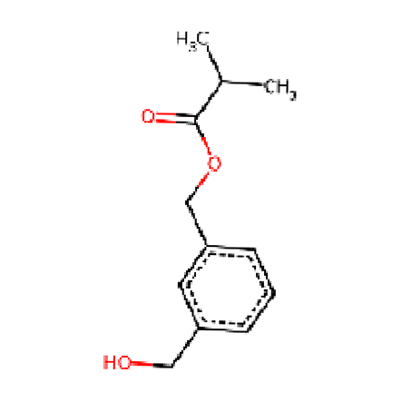 CC(C)C(=O)OCc1cccc(CO)c1